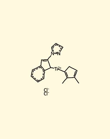 CC1=CC[C]([Ti+2][CH]2C(n3cccn3)=Cc3ccccc32)=C1C.[Cl-].[Cl-]